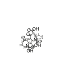 CCC1(CC)CC(C(=O)O)C(=O)CCN1C(=O)O.CCC1CC(=O)CCCN1C(=O)O